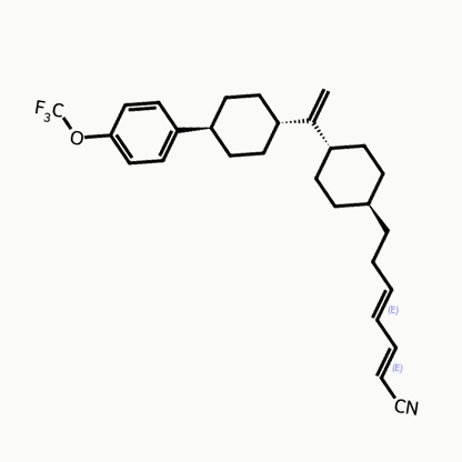 C=C([C@H]1CC[C@H](CC/C=C/C=C/C#N)CC1)[C@H]1CC[C@H](c2ccc(OC(F)(F)F)cc2)CC1